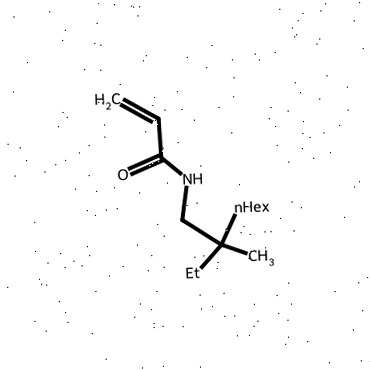 C=CC(=O)NCC(C)(CC)CCCCCC